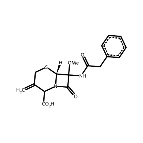 C=C1CS[C@H]2N(C(=O)C2(NC(=O)Cc2ccccc2)OC)C1C(=O)O